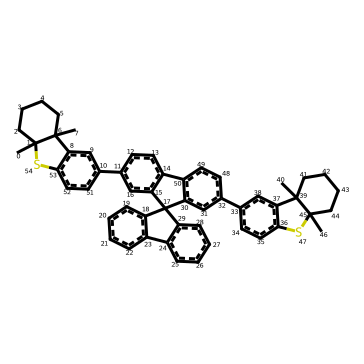 CC12CCCCC1(C)c1cc(-c3ccc4c(c3)C3(c5ccccc5-c5ccccc53)c3cc(-c5ccc6c(c5)C5(C)CCCCC5(C)S6)ccc3-4)ccc1S2